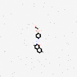 CC(=O)Nc1ccc2cc(S(=O)(=O)O)c(N=Nc3ccc(S(=O)(=O)CCOS(=O)(=O)O)cc3)c(O)c2c1